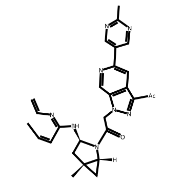 C=C/N=C(B[C@@H]1C[C@@]2(C)C[C@H]2N1C(=O)Cn1nc(C(C)=O)c2cc(-c3cnc(C)nc3)ncc21)\C=C/C